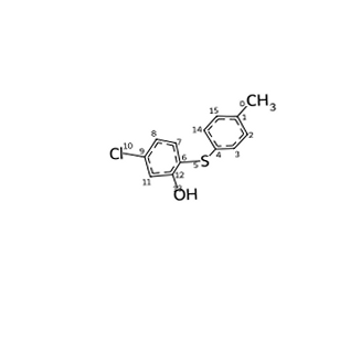 Cc1ccc(Sc2ccc(Cl)cc2O)cc1